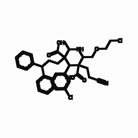 CC1NC(COCCCl)C(CCC#N)(C(=O)O)C(c2cccc(Cl)c2)C1(CCC(c1ccccc1)c1ccccc1)C(=O)O